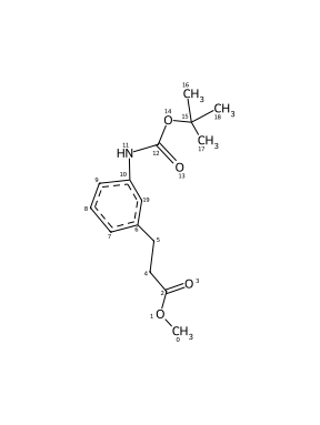 COC(=O)CCc1cccc(NC(=O)OC(C)(C)C)c1